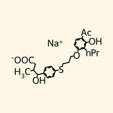 CCCc1c(OCCCSc2ccc(C(O)C(C)CC(=O)[O-])cc2)ccc(C(C)=O)c1O.[Na+]